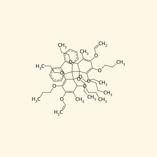 C=COC1=C(C)C(OCCC)C(OCCC)(C2(C3(OCCC)C(OCCC)=C(OCCC)C(OC=C)=C(C)C3OCCC)c3ccccc3-c3ccccc32)C(OCCC)=C1OCCC